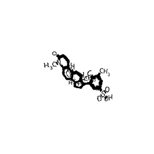 Cc1cc(S(=O)(=O)O)cc(C2CC[C@H]3[C@@H]4CCC5N(C)C(=O)C=C[C@]5(C)[C@@H]4CC[C@]23C)c1C